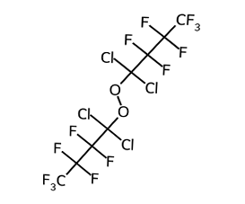 FC(F)(F)C(F)(F)C(F)(F)C(Cl)(Cl)OOC(Cl)(Cl)C(F)(F)C(F)(F)C(F)(F)F